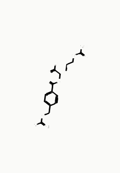 N=C(N)NCCC[C@H](NC(=O)c1ccc(CNC(=N)N)cc1)C(=O)O